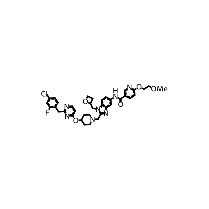 COCCOc1ccc(C(=O)Nc2ccc3c(c2)nc(CN2CCC(Oc4ccnc(Cc5ccc(Cl)cc5F)n4)CC2)n3CC2CCO2)cn1